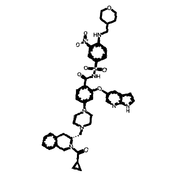 O=C(NS(=O)(=O)c1ccc(NCC2CCOCC2)c([N+](=O)[O-])c1)c1ccc(N2CCN(C[C@H]3Cc4ccccc4CN3C(=O)C3CC3)CC2)cc1Oc1cnc2[nH]ccc2c1